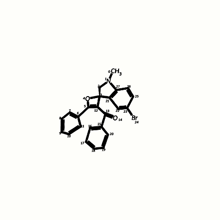 CN1C[C@@]2(OC(c3ccccc3)=C2C(=O)c2ccccc2)c2cc(Br)ccc21